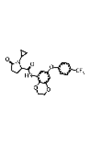 O=C(Nc1cc(Oc2ccc(C(F)(F)F)cc2)cc2c1OCCO2)C1CCC(=O)N1C1CC1